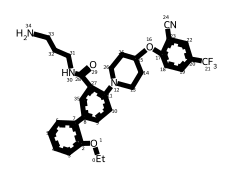 CCOc1ccccc1-c1ccc(N2CCC(Oc3ccc(C(F)(F)F)cc3C#N)CC2)c(C(=O)NCCCN)c1